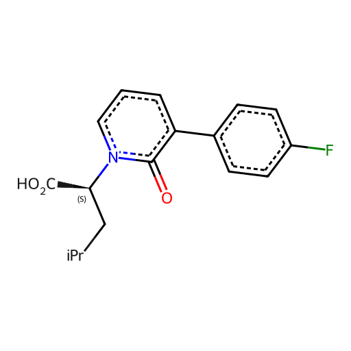 CC(C)C[C@@H](C(=O)O)n1cccc(-c2ccc(F)cc2)c1=O